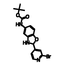 CC(C)(C)OC(=O)Nc1ccc2c(c1)NC(c1ccnc(Br)c1)O2